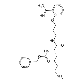 N=C(N)c1ccccc1OCCCNC(=O)[C@H](CCCCN)NC(=O)OCc1ccccc1